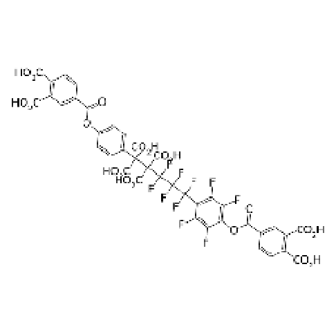 O=C(Oc1ccc(C(C(=O)O)(C(=O)O)C(C(=O)O)(C(=O)O)C(F)(F)C(F)(F)C(F)(F)c2c(F)c(F)c(OC(=O)c3ccc(C(=O)O)c(C(=O)O)c3)c(F)c2F)cc1)c1ccc(C(=O)O)c(C(=O)O)c1